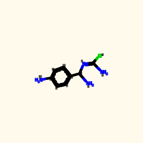 N/C(Cl)=N\C(N)c1ccc(N)cc1